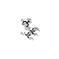 CC[N+](CC)(CC)CC.CC[N+](CC)(CC)CC.O=C([O-])CC(O)(CC(=O)[O-])C(=O)O